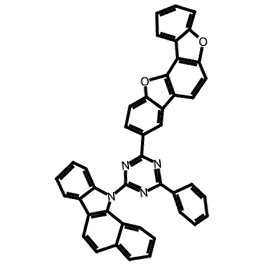 c1ccc(-c2nc(-c3ccc4oc5c(ccc6oc7ccccc7c65)c4c3)nc(-n3c4ccccc4c4ccc5ccccc5c43)n2)cc1